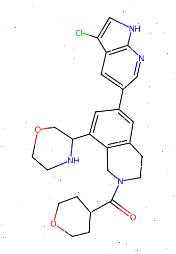 O=C(C1CCOCC1)N1CCc2cc(-c3cnc4[nH]cc(Cl)c4c3)cc(C3COCCN3)c2C1